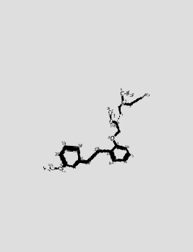 CN(CF)CC[C@H](COc1ccccc1CCc1cccc(OC(F)(F)F)c1)OC(F)(F)F